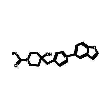 CC(C)C(=O)N1CCC(O)(Cc2ccc(-c3ccc4occc4c3)cc2)CC1